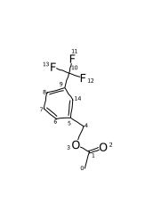 CC(=O)OCc1cccc(C(F)(F)F)c1